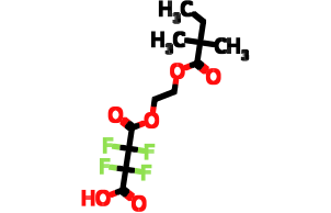 CCC(C)(C)C(=O)OCCOC(=O)C(F)(F)C(F)(F)C(=O)O